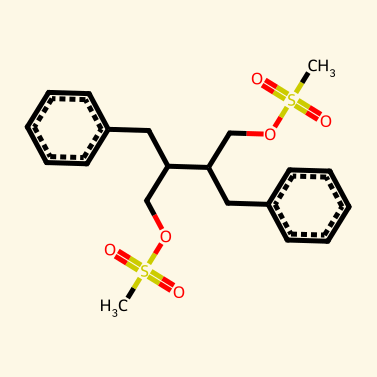 CS(=O)(=O)OCC(Cc1ccccc1)C(COS(C)(=O)=O)Cc1ccccc1